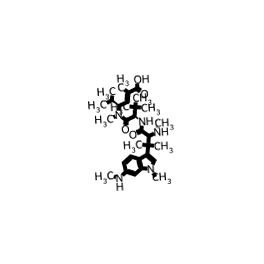 CNc1ccc2c(C(C)(C)C(NC)C(=O)N[C@H](C(=O)N(C)[C@H](/C=C(\C)C(=O)O)C(C)C)C(C)(C)C)cn(C)c2c1